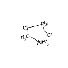 C[NH3+].[Cl][Pb][Cl]